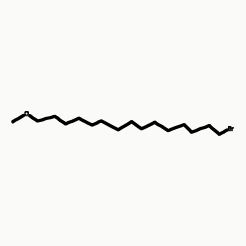 COCCCCCCCCCCCCCCCBr